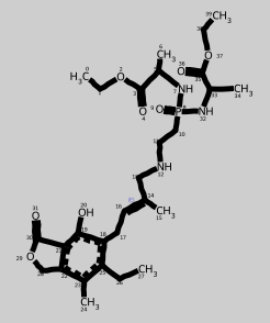 CCOC(=O)C(C)NP(=O)(CCNC/C(C)=C/Cc1c(O)c2c(c(C)c1CC)COC2=O)NC(C)C(=O)OCC